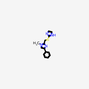 Cn1cc(-c2ccccc2)nc1CSc1ncc[nH]1